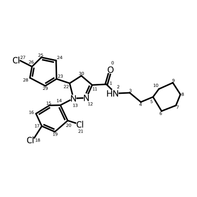 O=C(NCCC1CCCCC1)C1=NN(c2ccc(Cl)cc2Cl)C(c2ccc(Cl)cc2)C1